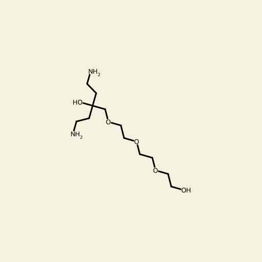 NCCC(O)(CCN)COCCOCCOCCO